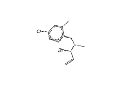 C=CC(Br)C(C)Cc1ccc(Cl)cc1C